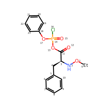 CCON[C@@H](Cc1ccccc1)C(=O)OP(=O)(Cl)Oc1ccccc1